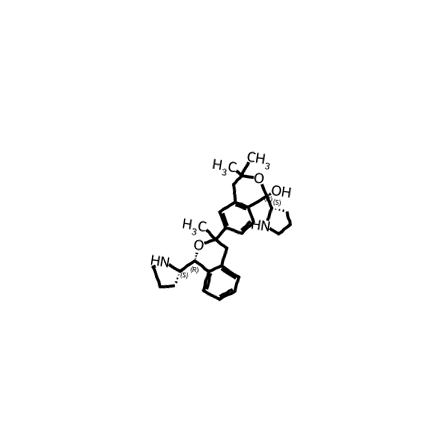 CC1(C)Cc2cc(C3(C)Cc4ccccc4[C@H]([C@@H]4CCCN4)O3)ccc2[C@](O)([C@@H]2CCCN2)O1